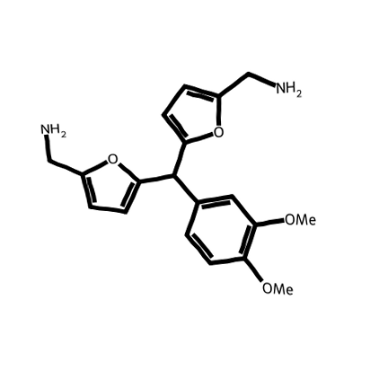 COc1ccc(C(c2ccc(CN)o2)c2ccc(CN)o2)cc1OC